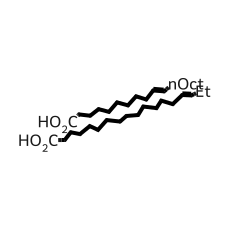 CCC=CCCCCCCCCCCCCCC(=O)O.CCCCCCCCC=CCCCCCCCCC(=O)O